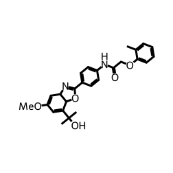 COC1=CC2N=C(c3ccc(NC(=O)COc4ccccc4C)cc3)OC2C(C(C)(C)O)=C1